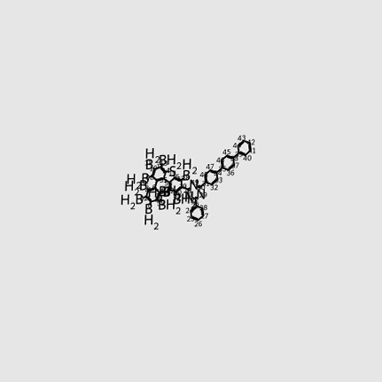 Bc1c(B)c(B)c(-c2c(B)c(B)c(B)c3sc4c(B)c(-c5nc(-c6ccccc6)nc(-c6ccc(-c7ccc(-c8ccccc8)cc7)cc6)n5)c(B)c(B)c4c23)c(B)c1B